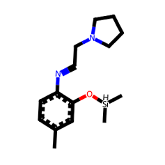 Cc1ccc(N=CCN2CCCC2)c(O[SiH](C)C)c1